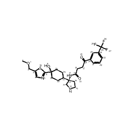 COCc1cnc(C2(O)CCC([C@]3(NC(=O)CCC(=O)c4cccc(C(F)(F)F)c4)CCNC3)CC2)s1